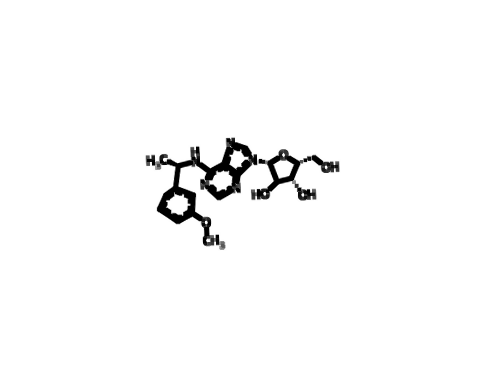 COc1cccc([C@@H](C)Nc2ncnc3c2ncn3[C@@H]2O[C@H](CO)[C@H](O)C2O)c1